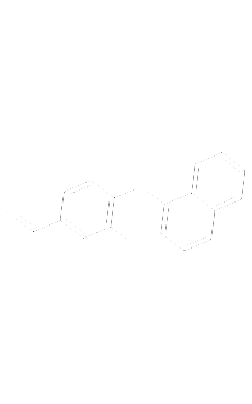 O=Cc1ccc(Oc2cccc3ccccc23)c(Cl)c1